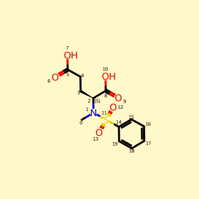 CN([C@@H](CCC(=O)O)C(=O)O)S(=O)(=O)c1ccccc1